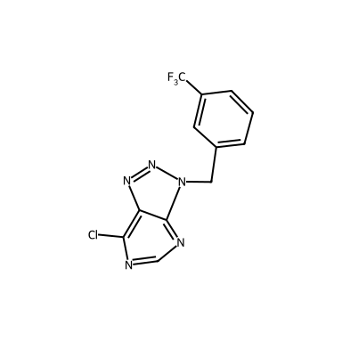 FC(F)(F)c1cccc(Cn2nnc3c(Cl)ncnc32)c1